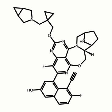 C#Cc1c(F)ccc2cc(O)cc(-c3nc4c5c(nc(OCC6(CN7CC8CC8C7)CC6)nc5c3F)N3CC5CCC(N5)[C@@H]3CO4)c12